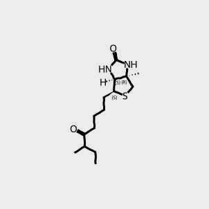 CCC(C)C(=O)CCCC[C@@H]1SC[C@]2(C)NC(=O)N[C@H]12